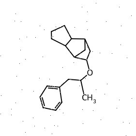 CC(Cc1ccccc1)OC1CC2CC1C1CCCC21